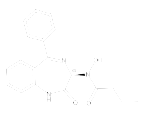 CCCC(=O)N(O)[C@@H]1N=C(c2ccccc2)c2ccccc2NC1=O